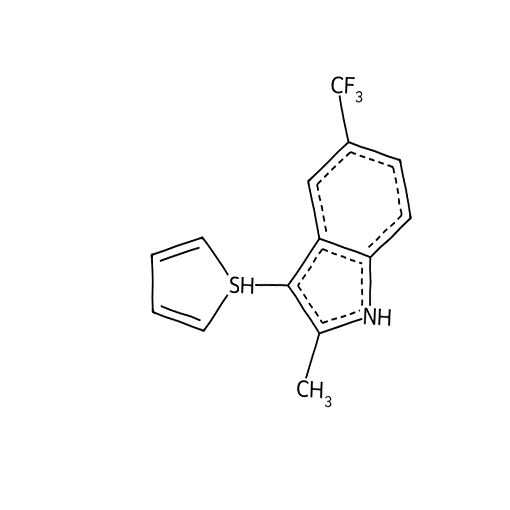 Cc1[nH]c2ccc(C(F)(F)F)cc2c1[SH]1C=CC=C1